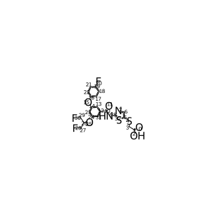 O=C(O)CSc1cnc(NC(=O)c2cc(Oc3ccc(F)cc3)cc(OC(CF)CF)c2)s1